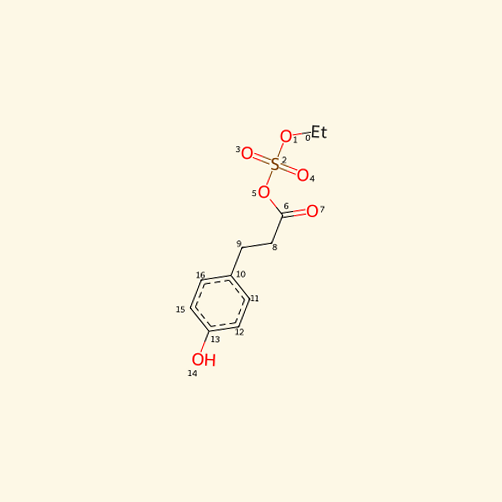 CCOS(=O)(=O)OC(=O)CCc1ccc(O)cc1